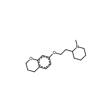 CN1CCCCC1CCOc1ccc2c(c1)OCCC2